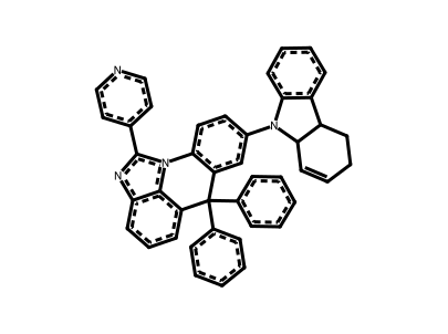 C1=CC2C(CC1)c1ccccc1N2c1ccc2c(c1)C(c1ccccc1)(c1ccccc1)c1cccc3nc(-c4ccncc4)n-2c13